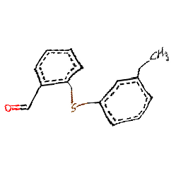 Cc1cccc(Sc2ccccc2C=O)c1